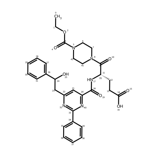 CCOC(=O)N1CCN(C(=O)[C@H](CCC(=O)O)NC(=O)c2cc(CC(O)c3ccccc3)nc(-c3ccccc3)n2)CC1